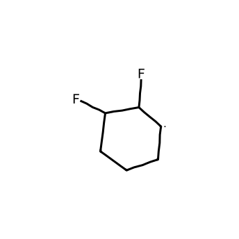 FC1[CH]CCCC1F